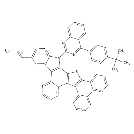 C/C=C/c1ccc2c(c1)c1c3ccccc3c3c(sc4c5ccccc5c5ccccc5c43)c1n2-c1nc(-c2ccc(C(C)(C)C)cc2)c2ccccc2n1